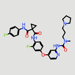 CN(CCCN1CCCC1)C(=O)Nc1cc(Oc2ccc(NC(=O)C3(C(=O)Nc4ccc(F)cc4)CC3)c(F)c2)ccn1